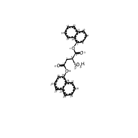 O=C(CC(C(=O)Oc1cccc2ccccc12)S(=O)(=O)O)Oc1cccc2ccccc12